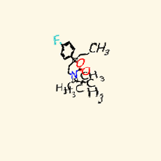 CCC[C@]1(c2ccc(F)cc2)CCN([C@@H](C)C(C)(C)C)C(=O)O1